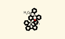 CN1c2ccccc2B2c3ccccc3N(C)c3c([Si](c4ccccc4)(c4ccccc4)n4c5ccccc5c5ccccc54)ccc1c32